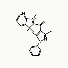 C=C(C1=[N+](C)c2ncccc2C1(C)C)c1c(C)nn(-c2ccccc2)c1C